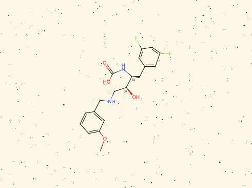 COc1cccc(CNC[C@H](O)[C@H](Cc2cc(F)cc(F)c2)NC(=O)O)c1